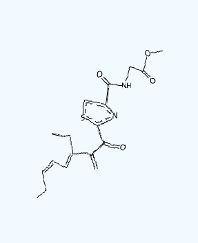 C=C(C(=O)c1nc(C(=O)NCC(=O)OC)cs1)/C(=C/C=C\CC)CC